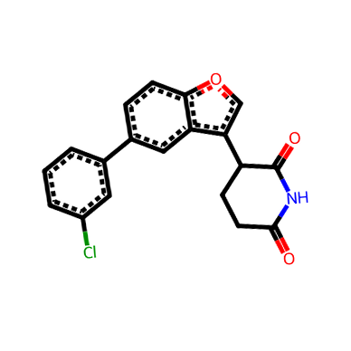 O=C1CCC(c2coc3ccc(-c4cccc(Cl)c4)cc23)C(=O)N1